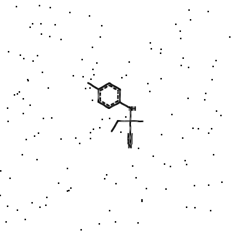 CCC(C)(C#N)Nc1ccc(C)cc1